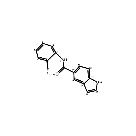 O=C(Nc1ccccc1F)c1ccc2occc2c1